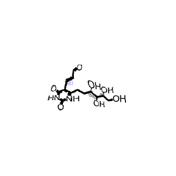 O=C/C=C/c1c(CC[C@H](O)[C@H](O)[C@H](O)CO)[nH]c(=O)[nH]c1=O